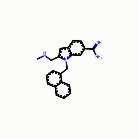 CNCc1cc2ccc(C(=N)N)cc2n1Cc1cccc2ccccc12